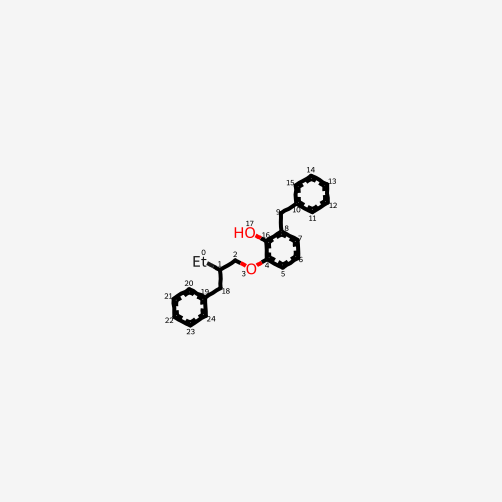 CCC(COc1cccc(Cc2ccccc2)c1O)Cc1ccccc1